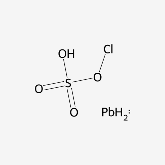 O=S(=O)(O)OCl.[PbH2]